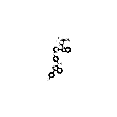 CC(C)(C)OC(=O)n1c(-c2nccc(Sc3ccc(Nc4nnc(-c5ccc(Cl)cc5)c5ccccc45)cc3)n2)cc2ccccc21